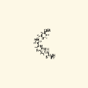 CCNC(=S)Nc1ccc2ncc(-c3cnn(Cc4cccc(OCC)c4)c3)nc2n1